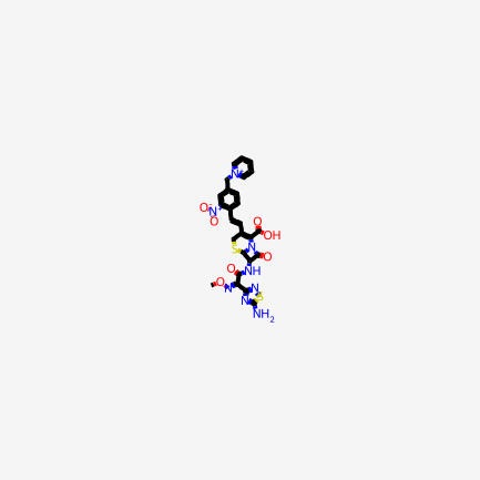 CO/N=C(\C(=O)NC1C(=O)N2C(C(=O)O)=C(/C=C/c3ccc(C[n+]4ccccc4)cc3[N+](=O)[O-])CSC12)c1nsc(N)n1